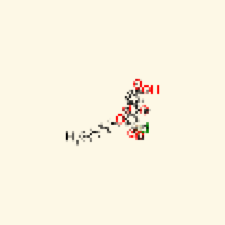 CCCCCCCCOc1cc(S(=O)(=O)Cl)cc2c(=O)c3cc(C(=O)O)ccc3oc12